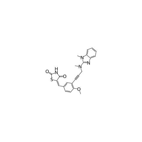 COc1ccc(C=C2SC(=O)NC2=O)cc1C#CCN(C)c1nc2ccccc2n1C